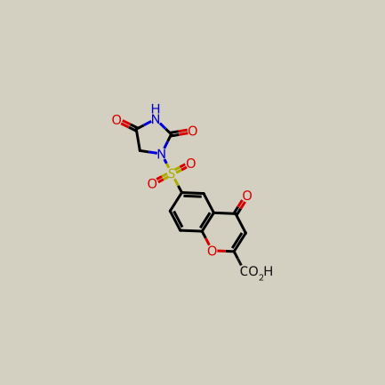 O=C1CN(S(=O)(=O)c2ccc3oc(C(=O)O)cc(=O)c3c2)C(=O)N1